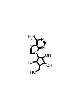 Nc1ncnc2c1ncn2C1C(O)C(O)C(CO)C1O